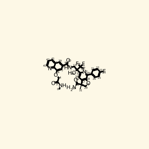 CNC(=O)COc1cc(C(=O)NCC(O)(c2cc3c(c(-c4ccc(F)cc4)n2)OC[C@]3(C)C(N)=O)C(F)(F)F)cc2cccnc12